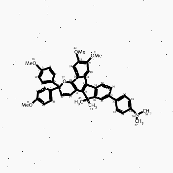 COc1ccc(C2(c3ccc(OC)cc3)C=Cc3c4c(c5cc(OC)c(OC)cc5c3O2)-c2ccc(-c3ccc(N(C)C)cc3)cc2C4(C)C)cc1